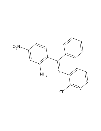 Nc1cc([N+](=O)[O-])ccc1C(=Nc1cccnc1Cl)c1ccccc1